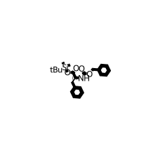 CC(C)(C)[Si](C)(C)OC(=O)[C@H](Cc1ccccc1)NC(=O)OCc1ccccc1